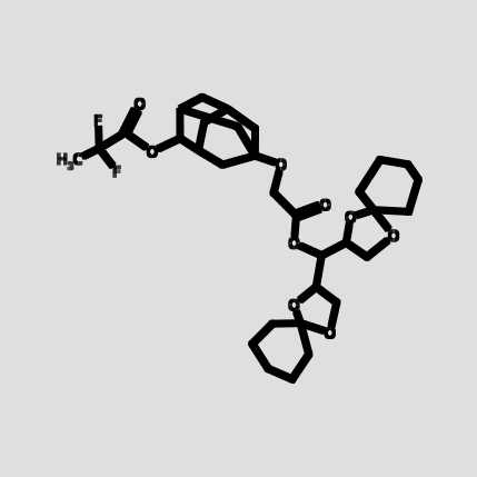 CC(F)(F)C(=O)OC1C2CC3CC1CC(OCC(=O)OC(C1COC4(CCCCC4)O1)C1COC4(CCCCC4)O1)(C3)C2